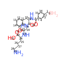 BCc1ccc(C(=O)NC(Cc2ccccc2)C(=O)NCC(=O)NC(CCCCN)C(=O)O)cc1